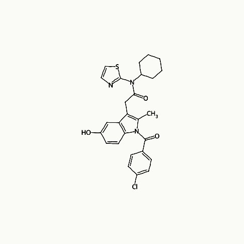 Cc1c(CC(=O)N(c2nccs2)C2CCCCC2)c2cc(O)ccc2n1C(=O)c1ccc(Cl)cc1